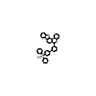 O[PH](c1ccccc1)(c1ccccc1)c1ccc(-c2cccc(-c3nc4ccccc4c4c3ccc3c5ccccc5sc34)c2)cc1